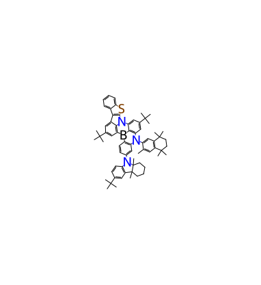 Cc1cc2c(cc1N1c3cc(N4c5ccc(C(C)(C)C)cc5C5(C)CCCCC45C)ccc3B3c4c1cc(C(C)(C)C)cc4-n1c4sc5ccccc5c4c4cc(C(C)(C)C)cc3c41)C(C)(C)CCC2(C)C